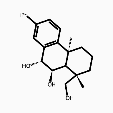 CC(C)c1ccc2c(c1)[C@@H](O)[C@H](O)C1[C@@](C)(CO)CCC[C@]21C